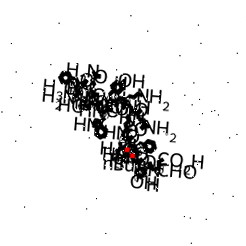 CCCC[C@@H](C(=O)N1C[C@H](O)C[C@@H]1C(=O)N[C@H](C=O)CC(=O)O)N(C)C(=O)[C@H](Cc1ccccc1)N(C)C(=O)[C@H](Cc1cc(F)c(F)c(F)c1)NC(=O)CSC[C@H](NC(=O)[C@H](CCCN)NC(=O)[C@H](Cc1ccc(O)cc1)NC(=O)[C@H](Cc1c[nH]c2ccccc12)NC(=O)[C@H]1C[C@@H](O)CN1C(=O)[C@H](CCC(N)=O)NC(=O)C(Cc1ccccc1)N(C)C(=O)[C@@H](N)C(C)C)C(=O)NCC(N)=O